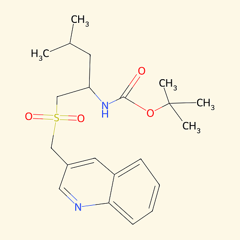 CC(C)CC(CS(=O)(=O)Cc1cnc2ccccc2c1)NC(=O)OC(C)(C)C